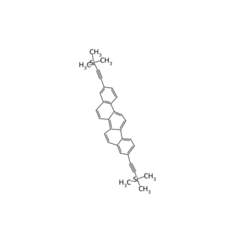 C[Si](C)(C)C#Cc1ccc2c(ccc3c2ccc2c4ccc(C#C[Si](C)(C)C)cc4ccc23)c1